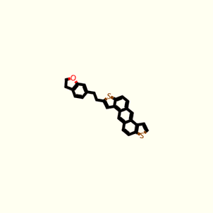 c1cc2c(ccc3cc4c(ccc5sc(CCc6ccc7c(c6)OCC7)cc54)cc32)s1